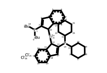 CCC(C)P(C1=Cc2ccccc2[CH]1[Ti+2][CH]1C(P(C2CCCCC2)C2CCCCC2)=Cc2ccccc21)C(C)CC.[Cl-].[Cl-]